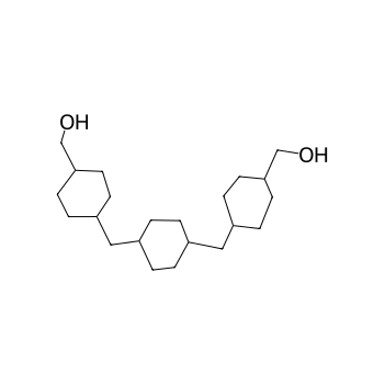 OCC1CCC(CC2CCC(CC3CCC(CO)CC3)CC2)CC1